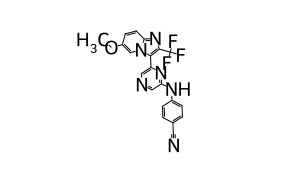 COc1ccc2nc(C(F)(F)F)c(-c3cncc(Nc4ccc(C#N)cc4)n3)n2c1